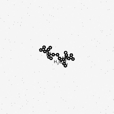 CC1(C)c2ccc(-c3cccc(-c4ccc(-c5nc(-n6c7cc8ccccc8cc7c7c8c9ccccc9c9ccccc9c8ccc76)nc6ccc7ccccc7c56)cc4)c3)cc2-c2nc(-n3c4cc5c(cc4c4c6c7ccccc7c7ccccc7c6ccc43)CCC=C5)nc(-c3ccc4ccccc4c3)c21